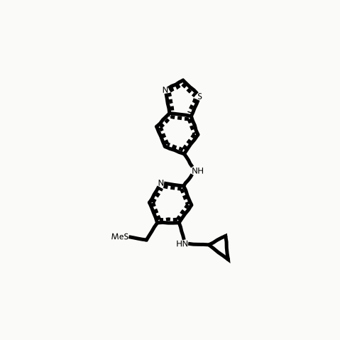 CSCc1cnc(Nc2ccc3ncsc3c2)cc1NC1CC1